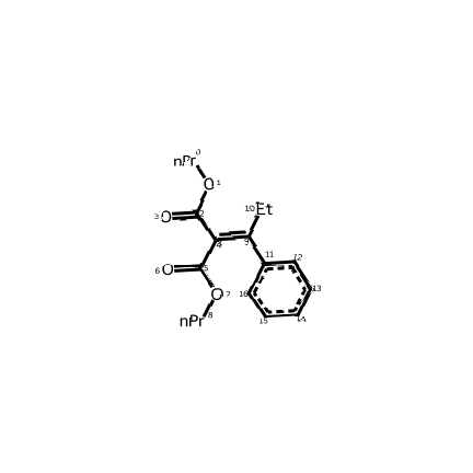 CCCOC(=O)C(C(=O)OCCC)=C(CC)c1ccccc1